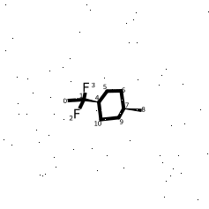 CC(F)(F)[C@H]1CC[C@@H](C)CC1